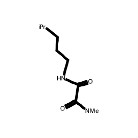 CNC(=O)C(=O)NCCCC(C)C